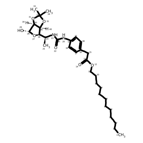 CCCCCCCCCCCCOC(=O)Cc1ccc(NC(=O)N[C@@H](C)[C@H]2O[C@H](O)[C@H]3OC(C)(C)O[C@@H]23)cc1